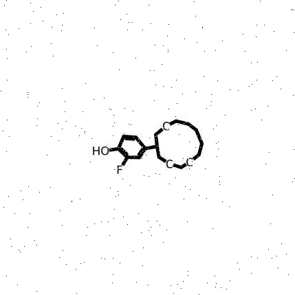 Oc1ccc(C2CCCCCCCCCCC2)cc1F